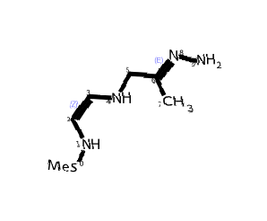 CSN/C=C\NC/C(C)=N/N